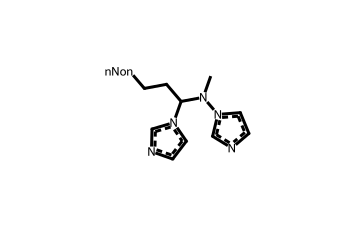 CCCCCCCCCCCC(N(C)n1ccnc1)n1ccnc1